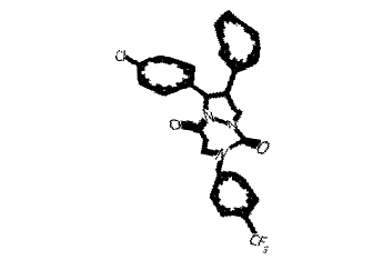 O=C1N(c2ccc(C(F)(F)F)cc2)CC(=O)N2C(c3ccc(Cl)cc3)C(c3ccccc3)CN12